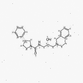 O=C(NC[C@H](O)CN1CCc2ccccc2C1)N1CC[C@H](c2ccccc2)C1